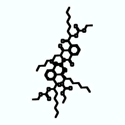 CCCCCCC(OC(=O)OCC)C(=O)c1cccc(C(=O)OOC(=O)c2cccc(C(=O)C(CCCCCC)OC(=O)OCC)c2C(=O)C(CCCCCC)OC(=O)OCC)c1C(=O)C(CCCCCC)OC(=O)OCC